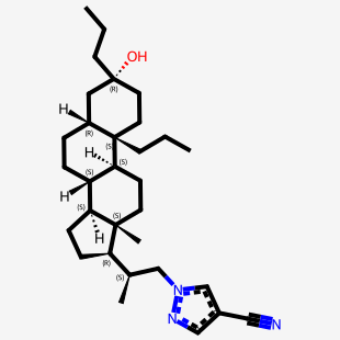 CCC[C@@]1(O)CC[C@@]2(CCC)[C@H](CC[C@H]3[C@@H]4CC[C@H]([C@H](C)Cn5cc(C#N)cn5)[C@@]4(C)CC[C@@H]32)C1